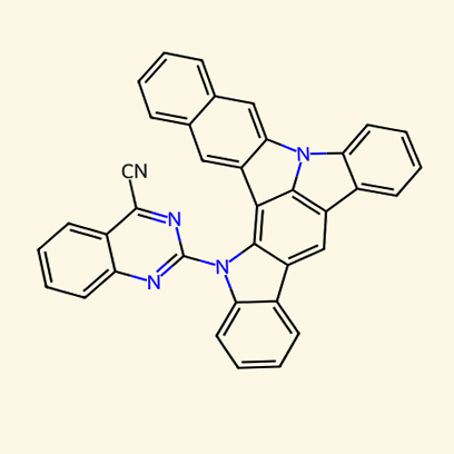 N#Cc1nc(-n2c3ccccc3c3cc4c5ccccc5n5c6cc7ccccc7cc6c(c32)c45)nc2ccccc12